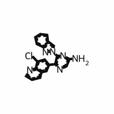 Nc1cnc(-c2cc(Cl)c3ncccc3c2)c(-n2cc3ccccc3n2)n1